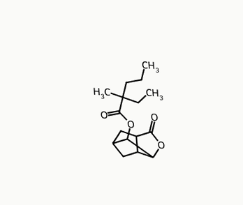 CCCC(C)(CC)C(=O)OC1C2CC3C(=O)OC1C3C2